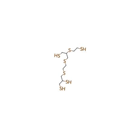 SCCSC(CS)CSCCSCC(S)CS